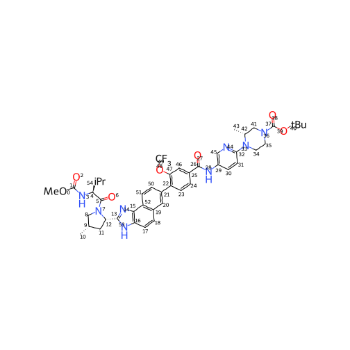 COC(=O)N[C@H](C(=O)N1C[C@@H](C)C[C@H]1c1nc2c(ccc3cc(-c4ccc(C(=O)Nc5ccc(N6CCN(C(=O)OC(C)(C)C)C[C@H]6C)nc5)cc4OC(F)(F)F)ccc32)[nH]1)C(C)C